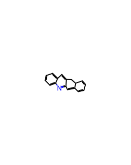 C1=CC2=Cc3nc4ccccc4cc3CC2C=C1